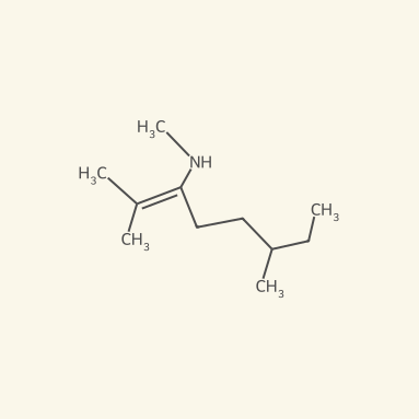 CCC(C)CCC(NC)=C(C)C